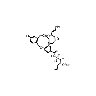 C=CC[C@@H](OC)[C@H](C)S(=O)(=O)NC(=O)c1ccc2c(c1)N(C[C@@H]1CC[C@H]1[C@@H](O)/C=C/CCC)CCCCc1cc(Cl)ccc1CO2